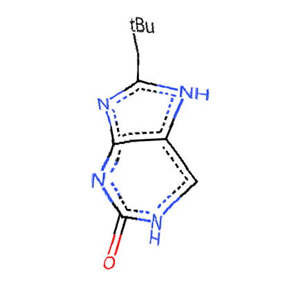 CC(C)(C)c1nc2nc(=O)[nH]cc2[nH]1